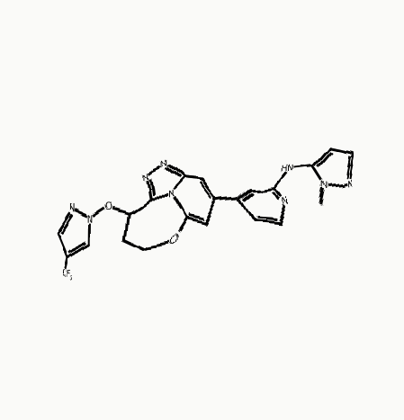 Cn1nccc1Nc1cc(-c2cc3n4c(nnc4c2)C(On2cc(C(F)(F)F)cn2)CCO3)ccn1